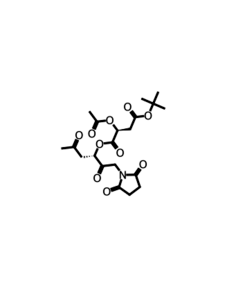 CC(=O)C[C@H](OC(=O)[C@H](CC(=O)OC(C)(C)C)OC(C)=O)C(=O)CN1C(=O)CCC1=O